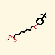 COC(=O)CCCCCCCOc1ccc(C(C)(C)C)cc1